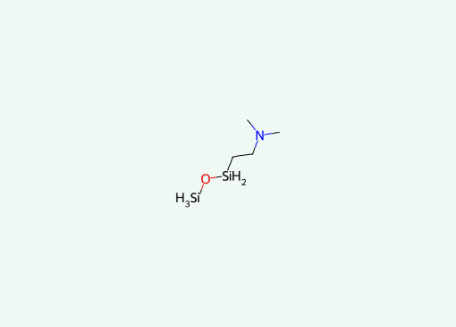 CN(C)CC[SiH2]O[SiH3]